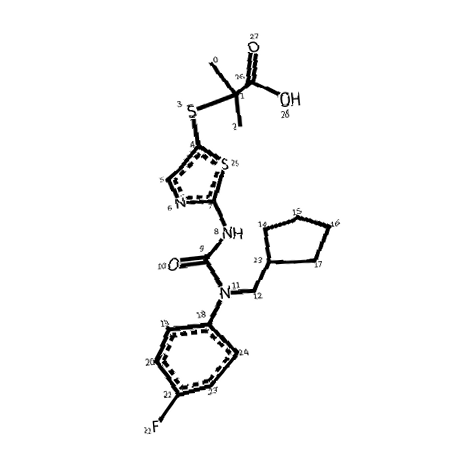 CC(C)(Sc1cnc(NC(=O)N(CC2CCCC2)c2ccc(F)cc2)s1)C(=O)O